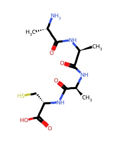 C[C@H](N)C(=O)N[C@@H](C)C(=O)N[C@@H](C)C(=O)N[C@@H](CS)C(=O)O